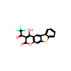 O=C(c1c(O)c2cc3c(cc2oc1=O)sc1ccccc13)C(F)(F)F